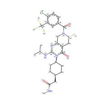 CNC(=O)C[C@H]1CC[C@@H](n2c(NC(C)C)nc3c(c2=O)C[C@@H](C)N(C(=O)c2ccc(Cl)c(C(F)(F)F)c2)C3)CC1